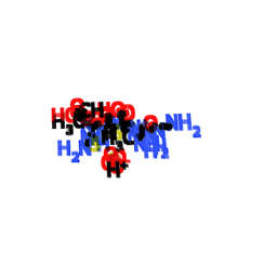 Cn1c(N)c(NC(=O)NCCN)c[n+]1CC1=C(C(=O)O)N2C(=O)[C@@H](NC(=O)/C(=N\OC(C)(C)C(=O)O)c3nsc(N)n3)[C@H]2SC1.O=S(=O)([O-])[O-].[H+]